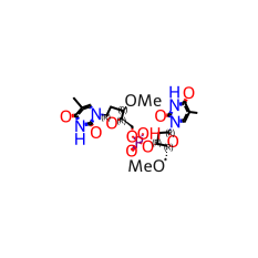 COC[C@H]1O[C@@H](n2cc(C)c(=O)[nH]c2=O)C[C@H]1OP(=O)(O)OC[C@H]1O[C@@H](n2cc(C)c(=O)[nH]c2=O)C[C@H]1OC